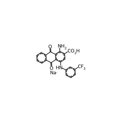 Nc1c(C(=O)O)cc(Nc2cccc(C(F)(F)F)c2)c2c1C(=O)c1ccccc1C2=O.[Na]